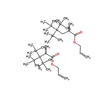 C=CCOC(=O)C(=C)C[Si]([Si](C)(C)C)([Si](C)(C)C)[Si](C)(C)C.C=CCOC(=O)C(=C)[Si]([Si](C)(C)C)([Si](C)(C)C)[Si](C)(C)C